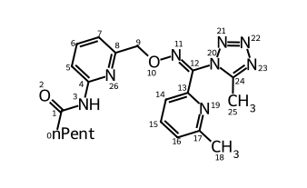 CCCCCC(=O)Nc1cccc(CO/N=C(\c2cccc(C)n2)n2nnnc2C)n1